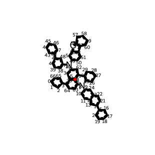 c1ccc(-c2ccc(N(c3ccc4cc(-c5ccccc5)ccc4c3)c3ccccc3-c3cccc(N(c4cccc(-c5ccccc5)c4)c4ccc5c(c4)oc4ccccc45)c3)cc2)cc1